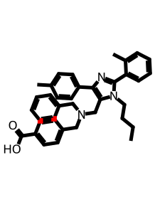 CCCCn1c(-c2ccccc2C)nc(-c2ccc(C)cc2)c1CN(Cc1ccccc1)Cc1ccc(C(=O)O)cc1